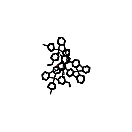 C=Cc1ccc(C2(c3ccc(C)cc3)c3ccccc3-c3ccc(N(c4ccc(F)c(F)c4)c4ccc5c(c4)C4(c6ccccc6-5)c5ccccc5-c5ccc(N(c6ccc(F)c(F)c6)c6ccc7c(c6)C(c6ccc(C)cc6)(c6ccc(C=C)cc6)c6ccccc6-7)cc54)cc32)cc1